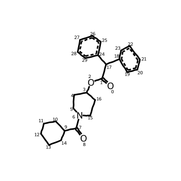 O=C(OC1CCN(C(=O)C2CCCCC2)CC1)C(c1ccccc1)c1ccccc1